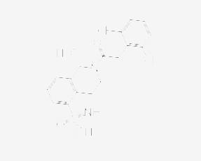 C[C@H]1c2cccc(S(C)(=N)=O)c2CCN1C(=O)Cc1c(Cl)cccc1Cl